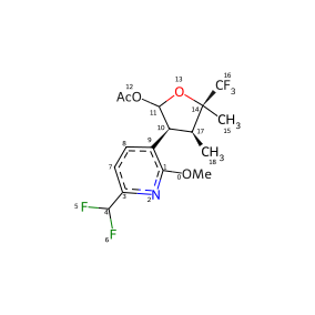 COc1nc(C(F)F)ccc1[C@H]1C(OC(C)=O)O[C@@](C)(C(F)(F)F)[C@H]1C